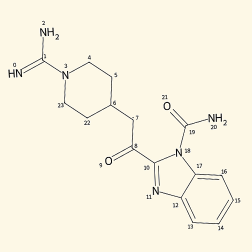 N=C(N)N1CCC([CH]C(=O)c2nc3ccccc3n2C(N)=O)CC1